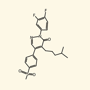 CC(C)CCCc1c(-c2ccc(S(C)(=O)=O)cc2)cnn(-c2ccc(F)c(F)c2)c1=O